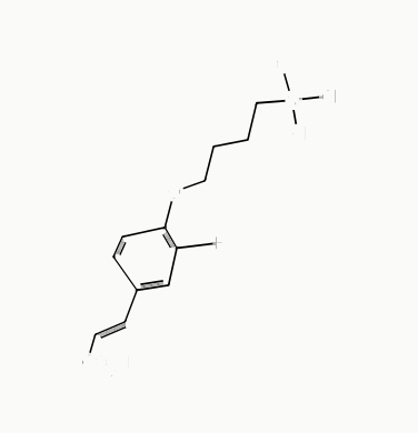 O=C(O)C=Cc1ccc(OCCCC[Si](Cl)(Cl)Cl)c(F)c1